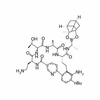 CCCCc1ccc(-c2ccc(C(=O)N[C@@H](CCN)C(=O)N[C@H](C(=O)N[C@@H](C)C(=O)N[C@@H](CCCCN)C(=O)N[C@@H](C)B3OC4C[C@@H]5C[C@@H](C5(C)C)[C@]4(C)O3)[C@@H](C)O)cn2)cc1